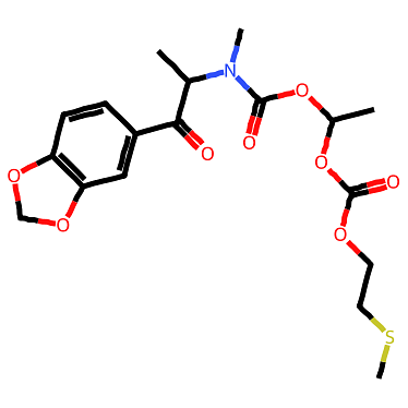 CSCCOC(=O)OC(C)OC(=O)N(C)C(C)C(=O)c1ccc2c(c1)OCO2